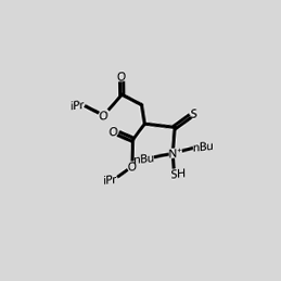 CCCC[N+](S)(CCCC)C(=S)C(CC(=O)OC(C)C)C(=O)OC(C)C